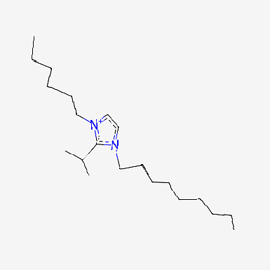 CCCCCCCCCn1cc[n+](CCCCCC)c1C(C)C